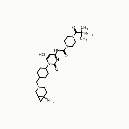 CC(C)(N)C(=O)N1CCN(C(=O)Nc2ccn(C3CCC(CN4CCC5(N)CC5C4)CC3)c(=O)n2)CC1.Cl